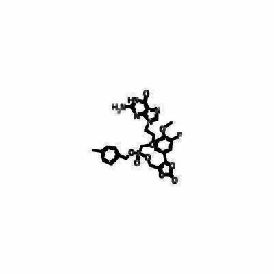 COc1ccc(-c2oc(=O)oc2COP(=O)(COCCn2cnc3c(=O)[nH]c(N)nc32)OCc2ccc(C)cc2)cc1F